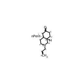 C=CCN1CC[C@@]2(CCCCC)CC(=O)CC[C@@H]2C1